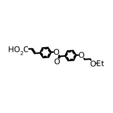 CCOCCOc1ccc(C(=O)Oc2ccc(/C=C/C(=O)O)cc2)cc1